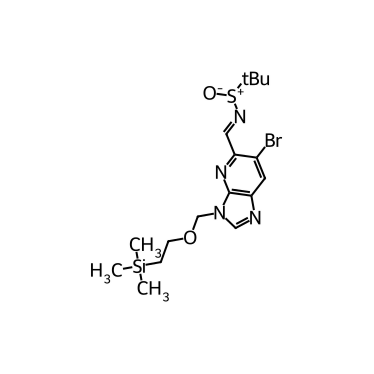 CC(C)(C)[S+]([O-])/N=C/c1nc2c(cc1Br)ncn2COCC[Si](C)(C)C